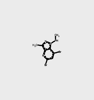 CPn1nc(C)c2nc(Br)cc(Br)c21